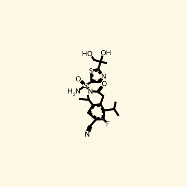 CC(C)c1cc(C#N)c(F)c(C(C)C)c1CC(=O)N=S(N)(=O)c1cnc(C(C)(O)CO)s1